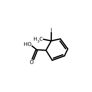 CC1(I)C=CC=CC1C(=O)O